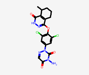 CC1CCCc2c(Oc3c(Cl)cc(-n4ncc(=O)n(N)c4=O)cc3Cl)n[nH]c(=O)c21